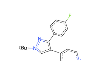 CC(C)(C)n1cc(-c2ccncc2)c(-c2ccc(F)cc2)n1